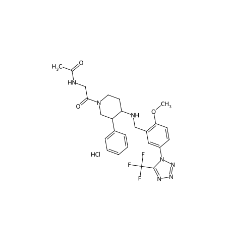 COc1ccc(-n2nnnc2C(F)(F)F)cc1CNC1CCN(C(=O)CNC(C)=O)CC1c1ccccc1.Cl